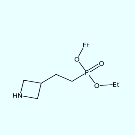 CCOP(=O)(CCC1CNC1)OCC